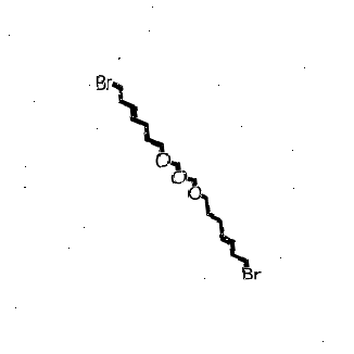 BrCCC=CCCCOCOCOCCCC=CCCBr